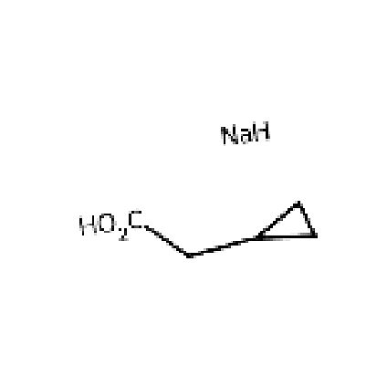 O=C(O)CC1CC1.[NaH]